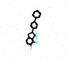 Fc1ccc2c(c1F)C(F)(F)C(c1ccc(-c3ccccc3)cc1)C2